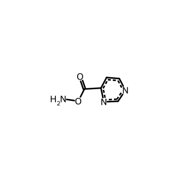 NOC(=O)c1ccncn1